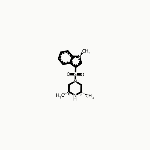 C[C@@H]1CN(S(=O)(=O)c2cn(C)c3ccccc23)C[C@H](C)N1